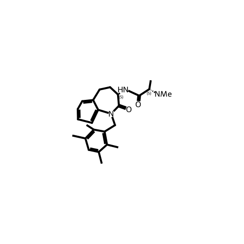 CN[C@@H](C)C(=O)N[C@H]1CCc2ccccc2N(Cc2c(C)c(C)cc(C)c2C)C1=O